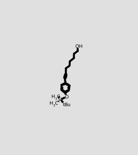 CC(C)(C)[Si](C)(C)Oc1ccc(C#CCCCCCCO)cc1